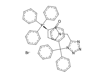 O=C1[C@H]([P+](c2ccccc2)(c2ccccc2)c2ccccc2)CCN1Cc1nnnn1C(c1ccccc1)(c1ccccc1)c1ccccc1.[Br-]